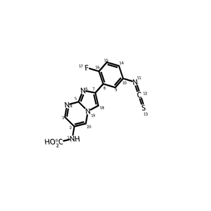 O=C(O)Nc1cnc2nc(-c3cc(N=C=S)ccc3F)cn2c1